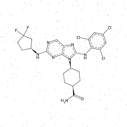 NC(=O)[C@H]1CC[C@@H](n2c(Nc3c(Cl)cc(Cl)cc3Cl)nc3cnc(N[C@H]4CCC(F)(F)C4)nc32)CC1